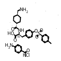 CC(=O)c1ccc(N)cc1.Cc1ccc(S(=O)(=O)Oc2ccc(C[C@H](NC(=O)[C@H]3CC[C@H](CN)CC3)C(=O)O)cc2)cc1.Cl